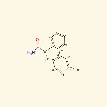 NC(=O)C(F)c1ccccc1-c1cccc(F)c1